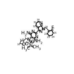 CN(C)S(=O)(=O)N(CC1CCO1)c1c(N)nc(-c2nn(Cc3ccccc3F)c3ncccc23)nc1N